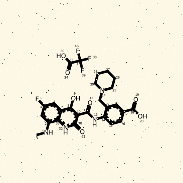 CNc1cc(F)cc2c(O)c(C(=O)Nc3ccc(C(=O)O)cc3CN3CCCCC3)c(=O)[nH]c12.O=C(O)C(F)(F)F